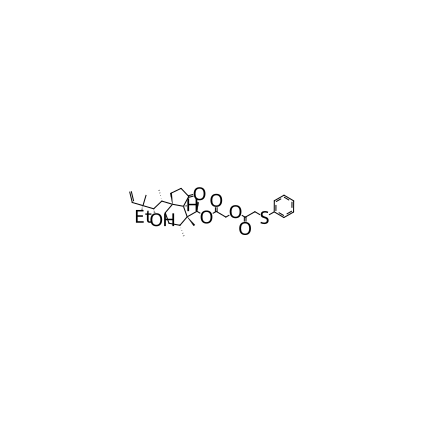 C=C[C@](C)(CC)[C@@H](O)[C@H](C)[C@]12CCC(=O)[C@H]1[C@](C)([C@@H](C)OC(=O)COC(=O)CSc1ccccc1)[C@H](C)CC2